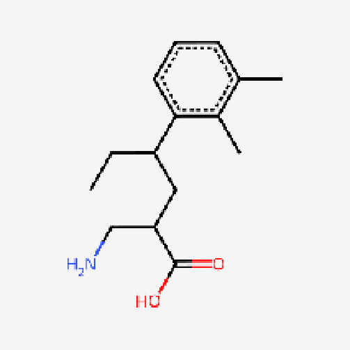 CCC(CC(CN)C(=O)O)c1cccc(C)c1C